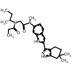 CCC(=O)N(CC(=O)N(C)c1ccc2cc(-c3n[nH]c4c3CCC(C)(C)C4)[nH]c2c1)[C@H](C)CC